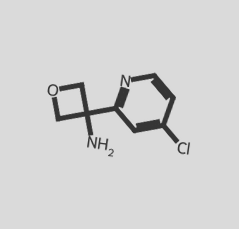 NC1(c2cc(Cl)ccn2)COC1